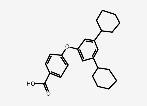 O=C(O)c1ccc(Oc2cc(C3CCCCC3)cc(C3CCCCC3)c2)cc1